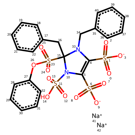 O=S(=O)([O-])C1=C(S(=O)(=O)[O-])N(S(=O)(=O)O)C(Cc2ccccc2)(S(=O)(=O)Oc2ccccc2)N1Cc1ccccc1.[Na+].[Na+]